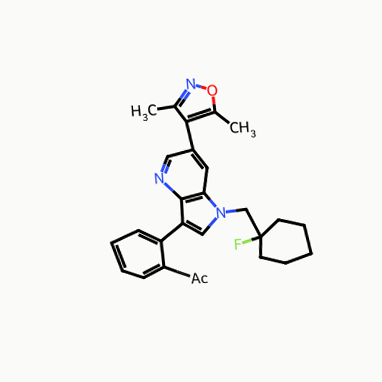 CC(=O)c1ccccc1-c1cn(CC2(F)CCCCC2)c2cc(-c3c(C)noc3C)cnc12